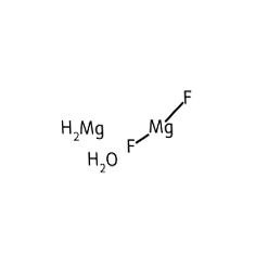 O.[F][Mg][F].[MgH2]